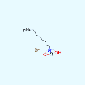 CCCCCCCCCCCCCCCC[N+](CC)(CO)CO.[Br-]